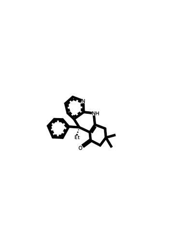 CC[C@@]1(c2ccccc2)C2=C(CC(C)(C)CC2=O)Nc2ncccc21